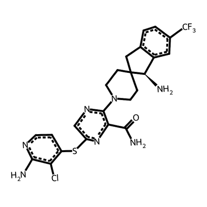 NC(=O)c1nc(Sc2ccnc(N)c2Cl)cnc1N1CCC2(CC1)Cc1ccc(C(F)(F)F)cc1[C@H]2N